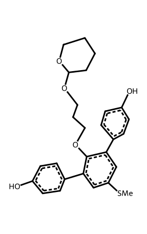 CSc1cc(-c2ccc(O)cc2)c(OCCCOC2CCCCO2)c(-c2ccc(O)cc2)c1